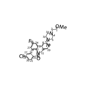 COCCN1CCN(c2ccc(CN(C(=O)c3ccc(Cl)cc3)c3ccc(F)cc3)cn2)CC1